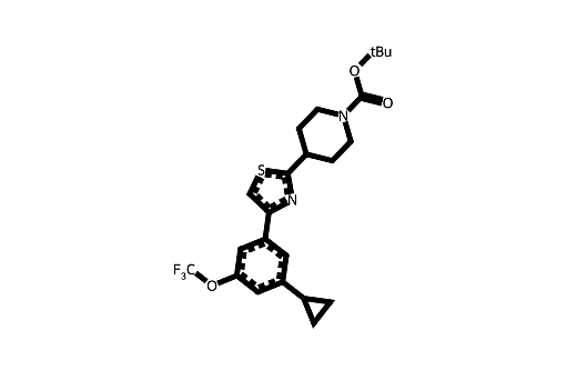 CC(C)(C)OC(=O)N1CCC(c2nc(-c3cc(OC(F)(F)F)cc(C4CC4)c3)cs2)CC1